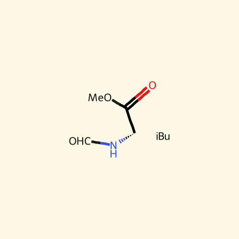 CC[C@H](C)[C@H](NC=O)C(=O)OC